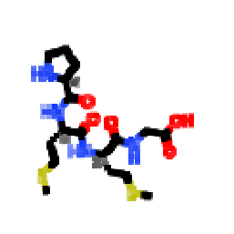 CSCC[C@H](NC(=O)[C@H](CCSC)NC(=O)[C@@H]1CCCN1)C(=O)NCC(=O)O